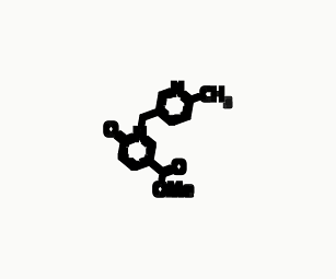 COC(=O)c1ccc(=O)n(Cc2ccc(C)nc2)c1